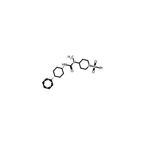 CC(C)S(=O)(=O)N1CCC(N(C)C(=O)N[C@H]2CC[C@@H](c3ccccc3)CC2)CC1